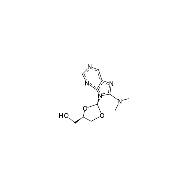 CN(C)c1nc2cncnc2n1[C@H]1OC[C@@H](CO)O1